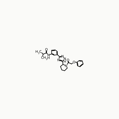 CC(C)C(=O)Nc1cccc(-c2n[nH]c(C3CCCCN3C(=O)COc3ccccc3)n2)c1